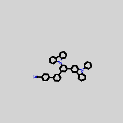 N#Cc1ccc(-c2cccc(-c3cc(-c4ccc5c(c4)c4ccccc4n5-c4ccccc4)cc(-n4c5ccccc5c5ccccc54)c3)c2)cc1